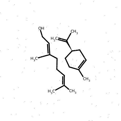 C=C(C)[C@H]1CC=C(C)CC1.CC(C)=CCC/C(C)=C/CO